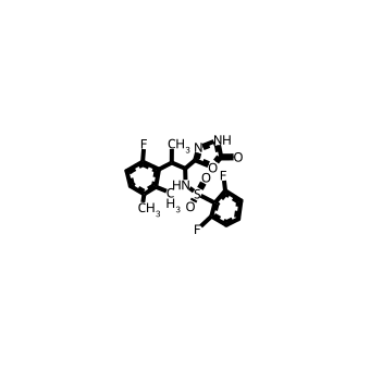 Cc1ccc(F)c(C(C)C(NS(=O)(=O)c2c(F)cccc2F)c2n[nH]c(=O)o2)c1C